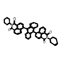 O=C1c2cccc3c(-c4c5ccccc5c(-c5ccc6c7c(cccc57)C(=O)N(C5CCCCC5)C6=O)c5ccccc45)ccc(c23)C(=O)N1C1CCCCC1